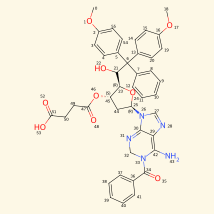 COc1ccc(C(c2ccccc2)(c2ccc(OC)cc2)C(O)[C@H]2O[C@@H](n3cnc4c3=NCN(C(=O)c3ccccc3)C=4N)C[C@@H]2OC(=O)CCC(=O)O)cc1